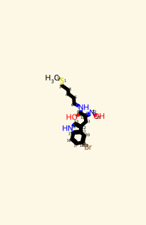 CSCCCCCNC(O)/C(Cc1c[nH]c2ccc(Br)cc12)=N/O